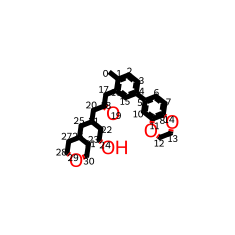 Cc1ccc(-c2ccc3c(c2)OCCO3)cc1CC(=O)CC(CCO)CC1CCOCC1